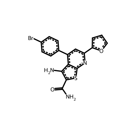 NC(=O)c1sc2nc(-c3ccco3)cc(-c3ccc(Br)cc3)c2c1N